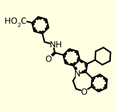 O=C(O)c1cccc(CNC(=O)c2ccc3c(C4CCCCC4)c4n(c3c2)CCOc2ccccc2-4)c1